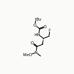 CON(C)C(=O)C[C@H](CF)NC(=O)OC(C)(C)C